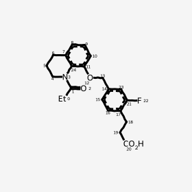 CCC(=O)N1CCCc2cccc(OCc3ccc(CCC(=O)O)c(F)c3)c21